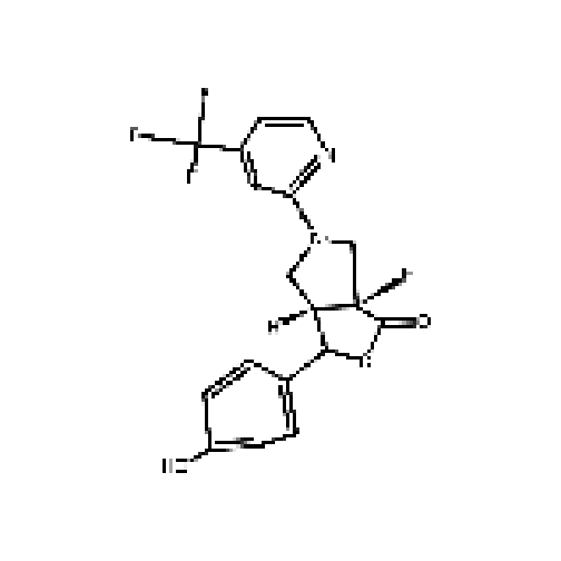 O=C1OC(c2ccc(O)cc2)[C@@H]2CN(c3nccc(C(F)(F)F)n3)C[C@H]12